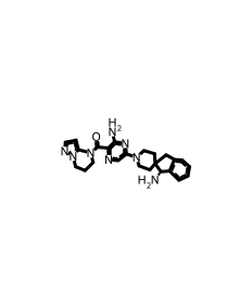 Nc1nc(N2CCC3(CC2)Cc2ccccc2[C@H]3N)cnc1C(=O)N1CCCn2nccc21